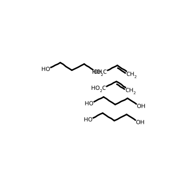 C=CC(=O)O.C=CC(=O)O.OCCCO.OCCCO.OCCCO